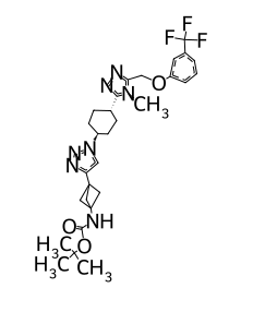 Cn1c(COc2cccc(C(F)(F)F)c2)nnc1[C@H]1CC[C@H](n2cc(C34CC(NC(=O)OC(C)(C)C)(C3)C4)nn2)CC1